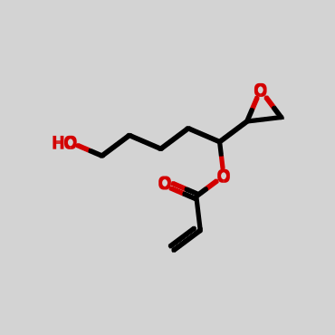 C=CC(=O)OC(CCCCO)C1CO1